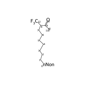 CCCCCCCCCCCCCCCCC(C(=O)F)C(F)(F)F